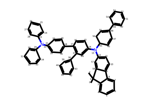 CC1(C)c2ccccc2-c2ccc(N(c3ccc(-c4ccc(N(c5ccccc5)c5ccccc5)cc4)c(-c4ccccc4)c3)C3C=CC(c4ccccc4)=CC3)cc21